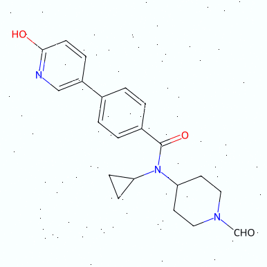 O=CN1CCC(N(C(=O)c2ccc(-c3ccc(O)nc3)cc2)C2CC2)CC1